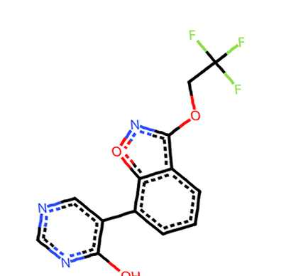 Oc1ncncc1-c1cccc2c(OCC(F)(F)F)noc12